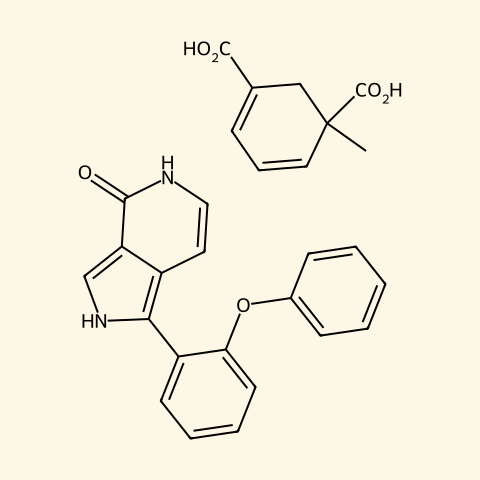 CC1(C(=O)O)C=CC=C(C(=O)O)C1.O=c1[nH]ccc2c(-c3ccccc3Oc3ccccc3)[nH]cc12